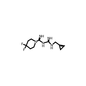 N=C(NCC1=CC1)NC(=N)N1CCC(F)(F)CC1